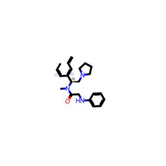 C=C/C=C(\C=C/C)[C@@H](CN1CCCC1)N(C)C(=O)CNc1ccccc1